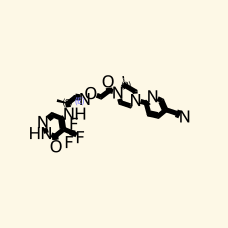 C[C@@H]1CN(c2ccc(C#N)cn2)CCN1C(=O)CO/N=C/[C@H](C)Nc1cn[nH]c(=O)c1C(F)(F)F